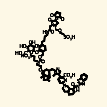 Cc1c(-c2ccc(N3CCc4cccc(C(=O)Nc5nc6ccccc6s5)c4C3)nc2C(=O)O)cnn1CC12CC3(OCCN(CCS(=O)(=O)O)C(=O)OCc4ccc(CCCCNC(=O)CN5C(=O)[C@@H](N6C(=O)C=CC6=O)C[C@H]5COCCS(=O)(=O)O)cc4O[C@@H]4O[C@H](C(=O)O)[C@@H](O)[C@H](O)[C@H]4O)CC4(C)CC(C)(C1)C4(C2)C3